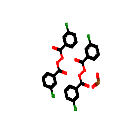 O=C(OOC(=O)c1cccc(Cl)c1)c1cccc(Cl)c1.O=C(OOC(=O)c1cccc(Cl)c1)c1cccc(Cl)c1.O=S=O